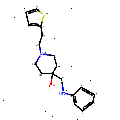 OC1(CNc2ccccc2)CCN(CCc2cccs2)CC1